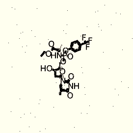 CCOC(=O)[C@H](C)NP(=O)(OC[C@H]1O[C@@H](n2cc(C)c(=O)[nH]c2=O)CC1O)Oc1ccc(C(F)(F)F)cc1